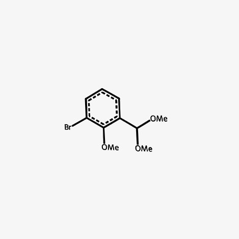 COc1c(Br)cccc1C(OC)OC